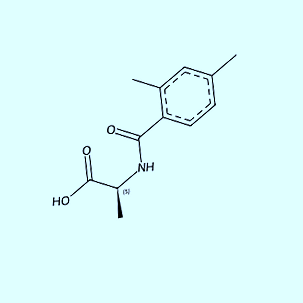 Cc1ccc(C(=O)N[C@@H](C)C(=O)O)c(C)c1